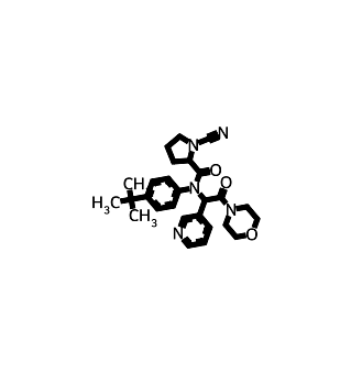 CC(C)(C)c1ccc(N(C(=O)C2CCCN2C#N)C(C(=O)N2CCOCC2)c2cccnc2)cc1